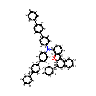 c1ccc(-c2ccc(-c3ccc(N(c4ccc(-c5ccc(-c6ccccc6)cc5)cc4)c4cccc5c4oc4c(-c6ccccc6)cc6ccccc6c45)cc3)cc2)cc1